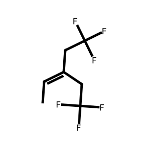 CC=C(CC(F)(F)F)CC(F)(F)F